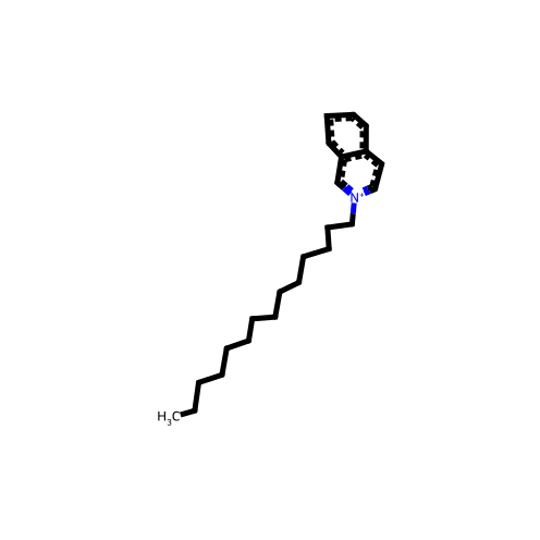 CCCCCCCCCCCCCC[n+]1ccc2ccccc2c1